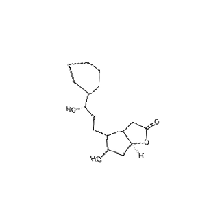 O=C1CC2C(CC[C@H](O)C3CCCCC3)C(O)C[C@@H]2O1